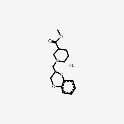 COC(=O)C1CCCN(CC2COc3ccccc3O2)C1.Cl